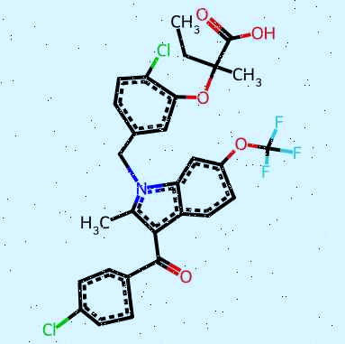 CCC(C)(Oc1cc(Cn2c(C)c(C(=O)c3ccc(Cl)cc3)c3ccc(OC(F)(F)F)cc32)ccc1Cl)C(=O)O